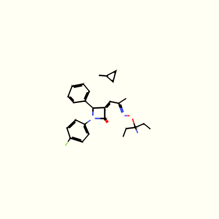 CC1CC1.CCC(N)(CC)ON=C(C)C=C1C(=O)N(c2ccc(F)cc2)C1c1ccccc1